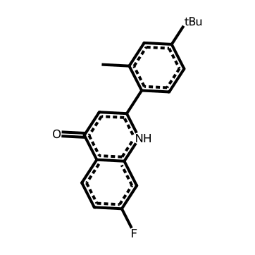 Cc1cc(C(C)(C)C)ccc1-c1cc(=O)c2ccc(F)cc2[nH]1